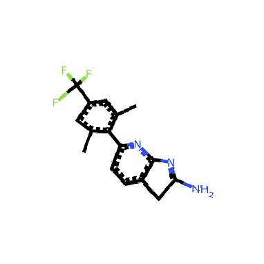 Cc1cc(C(F)(F)F)cc(C)c1-c1ccc2c(n1)N=C(N)C2